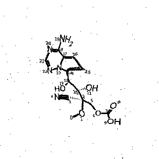 CO[C@](C#N)(COC(=O)O)[C@@H](O)[C@@H](O)c1ccc2c(N)ncnn12